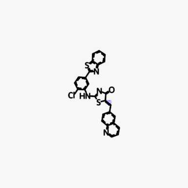 O=C1N=C(Nc2cc(-c3nc4ccccc4s3)ccc2Cl)S/C1=C\c1ccc2ncccc2c1